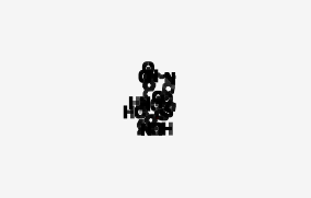 C=C1C=Cc2c([C@H](O)CNCCc3ccc4c(c3)oc(=O)n4CCCN(C)C3CCC(OC(=O)C(O)(c4cccs4)c4cccs4)CC3)ccc(O)c2N1